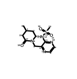 CC1CCN(Cc2nccnc2NS(C)(=O)=O)C(=O)C1